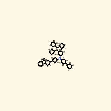 CC1(C)c2ccccc2-c2ccc(-c3ccc(N(c4ccc(-c5ccccc5)cc4)c4ccc(-c5ccccc5Cc5ccccc5)c(Cc5ccccc5)c4)cc3)cc21